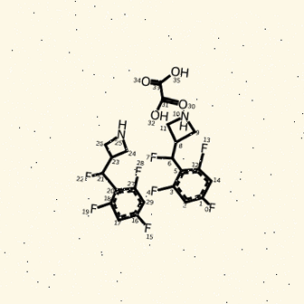 Fc1cc(F)c(C(F)C2CNC2)c(F)c1.Fc1cc(F)c(C(F)C2CNC2)c(F)c1.O=C(O)C(=O)O